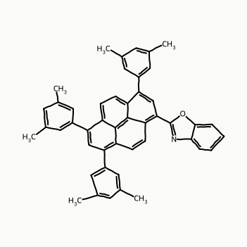 Cc1cc(C)cc(-c2cc(-c3cc(C)cc(C)c3)c3ccc4c(-c5nc6ccccc6o5)cc(-c5cc(C)cc(C)c5)c5ccc2c3c54)c1